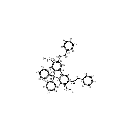 Cc1cc2c(cc1SCc1ccccc1)-c1cc(SCc3ccccc3)c(C)cc1[Si]2(c1ccccc1)c1ccccc1